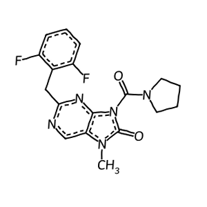 Cn1c(=O)n(C(=O)N2CCCC2)c2nc(Cc3c(F)cccc3F)ncc21